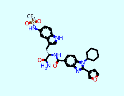 NC(=O)[C@H](Cc1c[nH]c2ccc(NS(=O)(=O)C(F)(F)F)cc12)NC(=O)c1ccc2c(c1)nc(-c1ccoc1)n2C1CCCCC1